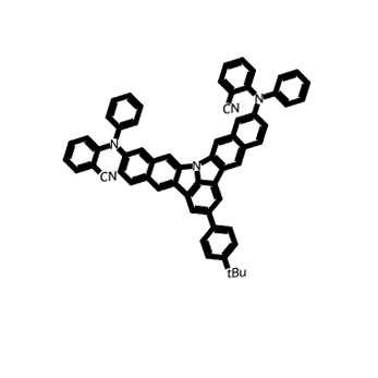 CC(C)(C)c1ccc(-c2cc3c4cc5ccc(N(c6ccccc6)c6ccccc6C#N)cc5cc4n4c5cc6cc(N(c7ccccc7)c7ccccc7C#N)ccc6cc5c(c2)c34)cc1